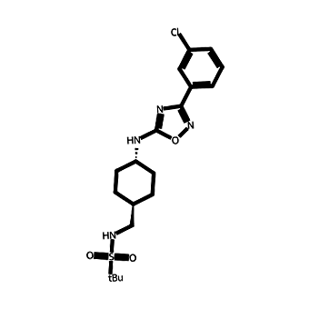 CC(C)(C)S(=O)(=O)NC[C@H]1CC[C@H](Nc2nc(-c3cccc(Cl)c3)no2)CC1